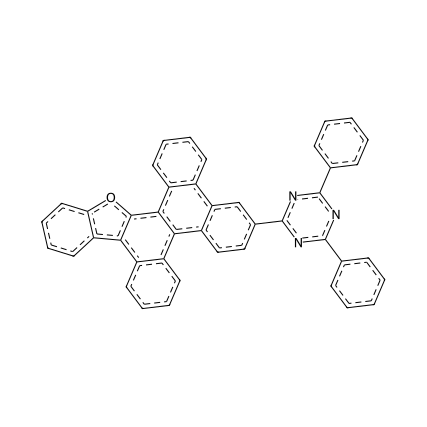 c1ccc(-c2nc(-c3ccccc3)nc(-c3ccc4c(c3)c3ccccc3c3c5oc6ccccc6c5c5ccccc5c43)n2)cc1